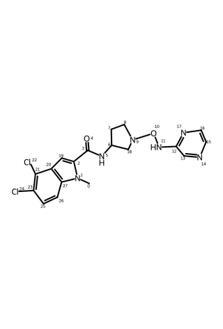 Cn1c(C(=O)NC2CCN(ONc3cnccn3)C2)cc2c(Cl)c(Cl)ccc21